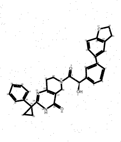 O=C([C@H](O)c1cccc(-c2ccc3c(c2)CCO3)c1)N1CCc2nc(C3(c4ccccc4)CC3)[nH]c(=O)c2C1